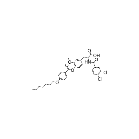 CCCCCCCOc1ccc(C(=O)Oc2ccc(CC(NC(=O)c3ccc(Cl)c(Cl)c3)C(=O)O)cc2OC)cc1